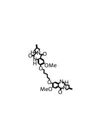 C=C1C[C@H]2C=Nc3cc(OCCCCCOc4cc5c(cc4OC)C(=O)N4CC(=C)C[C@H]4C(=O)N5)c(OC)cc3C(=O)N2C1